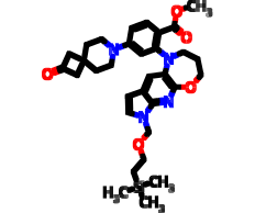 COC(=O)c1ccc(N2CCC3(CC2)CC(=O)C3)cc1N1CCCOc2nc3c(ccn3COCC[Si](C)(C)C)cc21